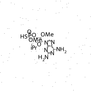 CO[C@H]1[C@@H](OP(=O)(S)OC)[C@@H](CC(C)C)O[C@H]1n1cnc2c(N)nc(N)nc21